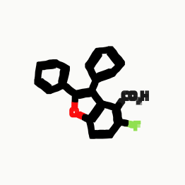 O=C(O)c1c(F)ccc2oc(-c3ccccc3)c(-c3ccccc3)c12